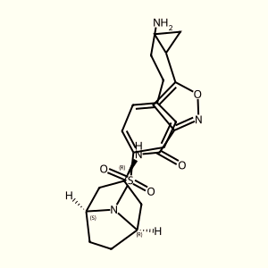 NCCc1ccc(S(=O)(=O)N2[C@@H]3CC[C@H]2C[C@@H](NC(=O)c2cc(C4CC4)on2)C3)cc1